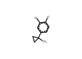 CC1(c2ccc(Cl)c(Cl)c2)CC1